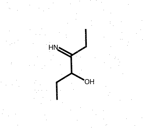 CCC(=N)C(O)CC